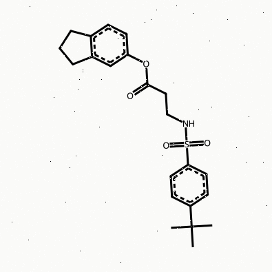 CC(C)(C)c1ccc(S(=O)(=O)NCCC(=O)Oc2ccc3c(c2)CCC3)cc1